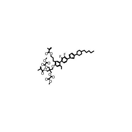 C=C(C)C(=O)OCCCc1cc(-c2ccc(-c3ccc(C4CCC(CCCCC)CC4)cc3)c(F)c2F)c(CC)cc1OCC(COC(=O)C(=C)C)(COC(=O)C(=O)OC)COC(=O)C(=O)OC